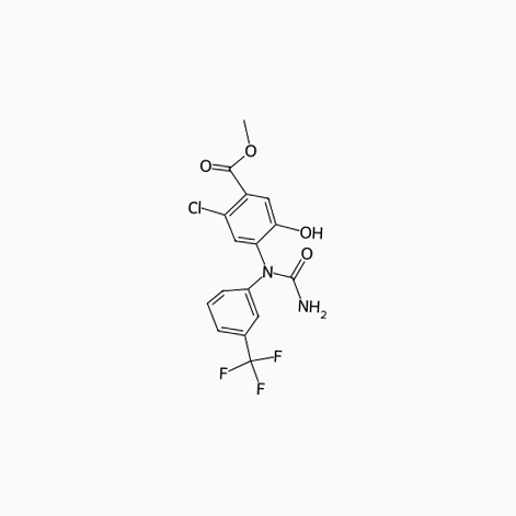 COC(=O)c1cc(O)c(N(C(N)=O)c2cccc(C(F)(F)F)c2)cc1Cl